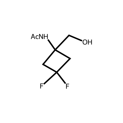 CC(=O)NC1(CO)CC(F)(F)C1